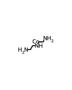 NCCNCCN.[Co]